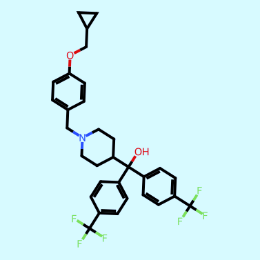 OC(c1ccc(C(F)(F)F)cc1)(c1ccc(C(F)(F)F)cc1)C1CCN(Cc2ccc(OCC3CC3)cc2)CC1